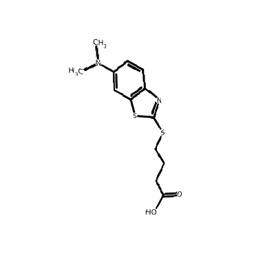 CN(C)c1ccc2nc(SCCCC(=O)O)sc2c1